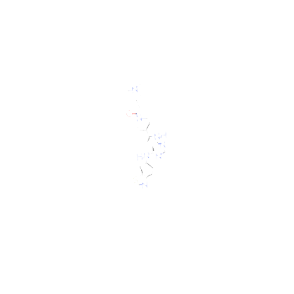 CN(C)CCCC(=O)N1CC=C(c2cc3c(Nc4ccc5ncsc5c4)ncnc3[nH]2)CC1